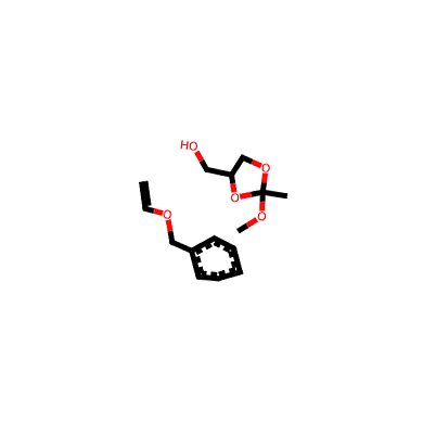 C=COCc1ccccc1.COC1(C)OCC(CO)O1